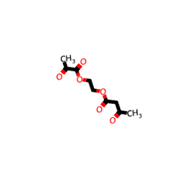 CC(=O)CC(=O)OCCOC(=O)C(C)=O